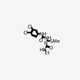 CCNC(=O)N=C(NC(=O)Nc1ccc(Cl)c(Cl)c1)SC